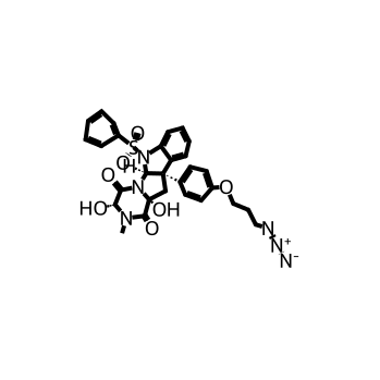 CN1C(=O)[C@]2(O)C[C@]3(c4ccc(OCCCN=[N+]=[N-])cc4)c4ccccc4N(S(=O)(=O)c4ccccc4)[C@@H]3N2C(=O)[C@H]1O